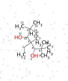 CCC(C)(C(O)C(C)(C)C)C(O)C(C)(C)C